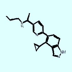 CCCNC(C)c1ccc(-c2ccc3[nH]ncc3c2C2CC2)nc1